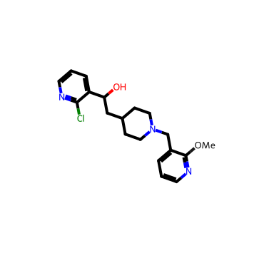 COc1ncccc1CN1CCC(CC(O)c2cccnc2Cl)CC1